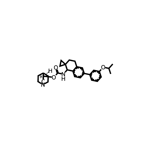 CC(C)Oc1cccc(-c2ccc3c(c2)CCC2(CC2)C3NC(=O)O[C@H]2CN3CCC2CC3)c1